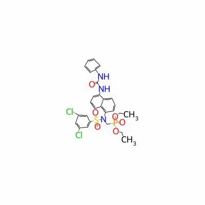 CCOP(=O)(CN(c1cccc2c(NC(=O)Nc3ccccc3)cccc12)S(=O)(=O)c1cc(Cl)cc(Cl)c1)OCC